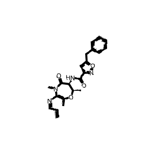 C=C/C=N\C1=C(C)O[C@H](C)[C@H](NC(=O)c2cc(Cc3ccccc3)on2)C(=O)N1C